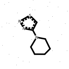 c1snnc1N1CCCCC1